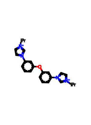 CC(C)[n+]1ccn(-c2cccc(Oc3cccc(-n4cc[n+](C(C)C)c4)c3)c2)c1